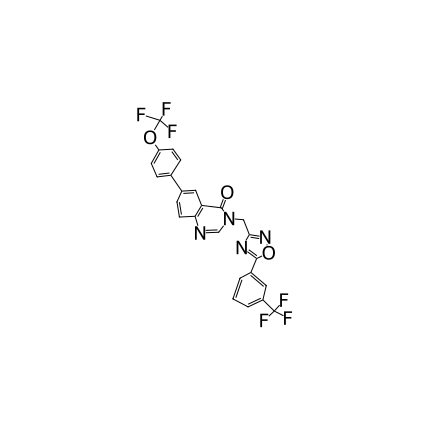 O=c1c2cc(-c3ccc(OC(F)(F)F)cc3)ccc2ncn1Cc1noc(-c2cccc(C(F)(F)F)c2)n1